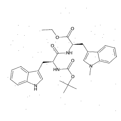 CCOC(=O)[C@@H](Cc1cn(C)c2ccccc12)NC(=O)[C@H](Cc1c[nH]c2ccccc12)NC(=O)OC(C)(C)C